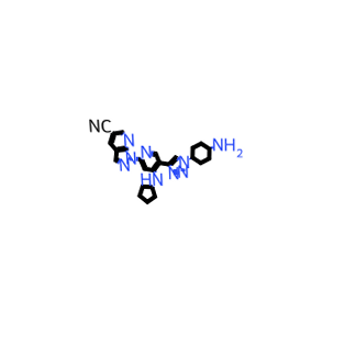 N#Cc1cnc2c(cnn2-c2cc(NC3CCCC3)c(-c3cn([C@H]4CC[C@H](N)CC4)nn3)cn2)c1